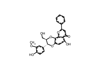 COc1cc([C@H]2Oc3cc(O)c4c(=O)cc(-c5ccccc5)oc4c3O[C@@H]2CO)ccc1O